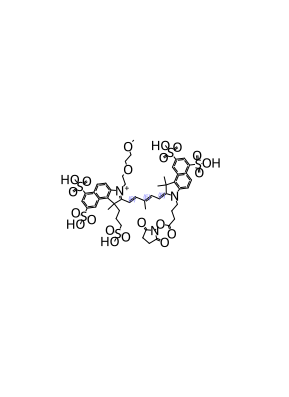 COCCOCC[N+]1=C(/C=C/C(C)=C/C=C2/N(CCCC(=O)ON3C(=O)CCC3=O)c3ccc4c(S(=O)(=O)O)cc(S(=O)(=O)O)cc4c3C2(C)C)C(C)(CCCS(=O)(=O)O)c2c1ccc1c(S(=O)(=O)O)cc(S(=O)(=O)O)cc21